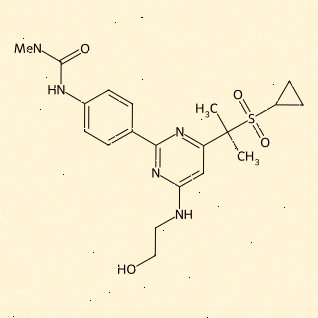 CNC(=O)Nc1ccc(-c2nc(NCCO)cc(C(C)(C)S(=O)(=O)C3CC3)n2)cc1